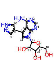 Nc1ncnc2c1c(-c1cn[nH]c1)cn2C1OC(CO)C(O)C1O